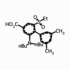 CCCCN(CCCC)c1cc(C(=O)O)cc(S(=O)(=O)CC)c1-c1cc(C)cc(C)c1